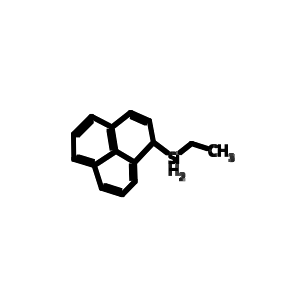 CC[SiH2]C1C=Cc2cccc3cccc1c23